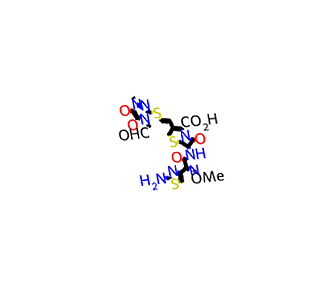 CON=C(C(=O)NC1C(=O)N2C(C(=O)O)=C(C=CSc3nn(C)c(=O)c(=O)n3CC=O)CSC12)c1csc(N)n1